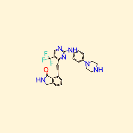 O=C1NCc2cccc(C#Cc3nc(Nc4ccc(N5CCNCC5)cc4)ncc3C(F)(F)F)c21